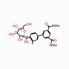 CNC(=O)c1cc(C(=O)NC)cc(-c2ccc([C@@H](O)[C@H]3OC(CO)[C@@H](O)[C@H](O)C3O)c(C)c2)c1